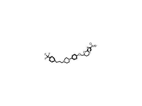 O=[N+]([O-])c1cn2c(n1)OC(COc1ccc(N3CCN(CCCc4ccc(C(F)(F)F)cc4)CC3)cc1)CC2